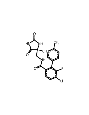 C[C@]1(CNC(=O)c2ccc(Cl)c(F)c2-c2ccc(C(F)(F)F)cc2)NC(=O)NC1=O